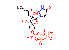 C=C=CC[C@@]1(O)[C@H](O)[C@@](CF)(COP(=O)(O)OP(=O)(O)OP(=O)(O)O)O[C@H]1N1C=CC(=O)NC1O